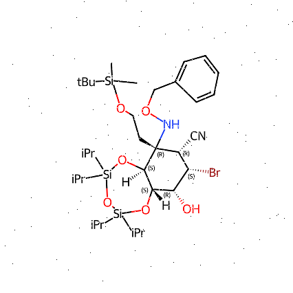 CC(C)[Si]1(C(C)C)O[C@H]2[C@@H](O)[C@@H](Br)[C@@H](C#N)[C@@](CCO[Si](C)(C)C(C)(C)C)(NOCc3ccccc3)[C@@H]2O[Si](C(C)C)(C(C)C)O1